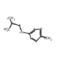 [CH2]c1ccc(OCC(C)C)cc1